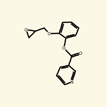 O=C(Oc1ccccc1OCC1CO1)c1cccnc1